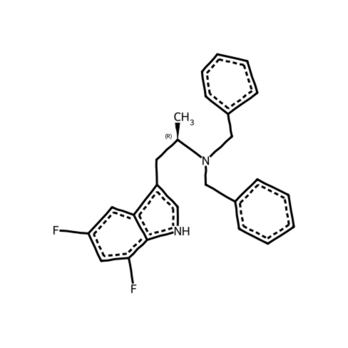 C[C@H](Cc1c[nH]c2c(F)cc(F)cc12)N(Cc1ccccc1)Cc1ccccc1